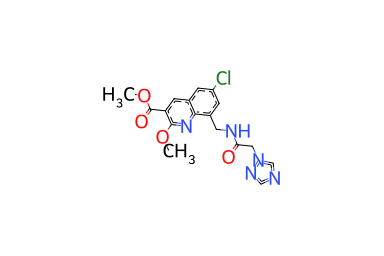 COC(=O)c1cc2cc(Cl)cc(CNC(=O)Cn3cncn3)c2nc1OC